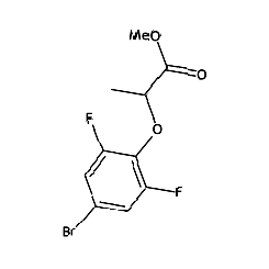 COC(=O)C(C)Oc1c(F)cc(Br)cc1F